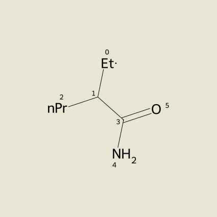 C[CH]C(CCC)C(N)=O